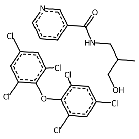 CC(CO)CNC(=O)c1cccnc1.Clc1cc(Cl)c(Oc2c(Cl)cc(Cl)cc2Cl)c(Cl)c1